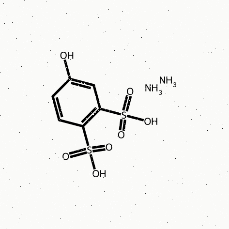 N.N.O=S(=O)(O)c1ccc(O)cc1S(=O)(=O)O